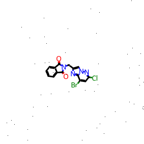 O=C1c2ccccc2C(=O)N1Cc1cn2nc(Cl)cc(Br)c2n1